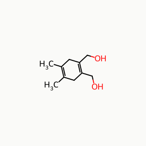 CC1=C(C)CC(CO)=C(CO)C1